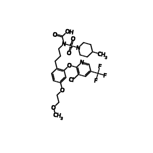 COCCOc1ccc(CCCN(C(=O)O)S(=O)(=O)N2CCC(C)CC2)c(Oc2ncc(C(F)(F)F)cc2Cl)c1